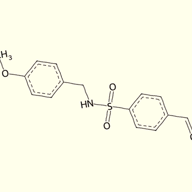 COc1ccc(CNS(=O)(=O)c2ccc(C=O)cc2)cc1